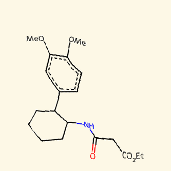 CCOC(=O)CC(=O)NC1CCCCC1c1ccc(OC)c(OC)c1